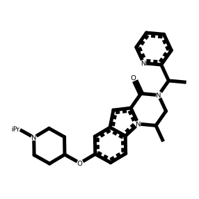 CC(C)N1CCC(Oc2ccc3c(c2)cc2n3C(C)CN(C(C)c3ccccn3)C2=O)CC1